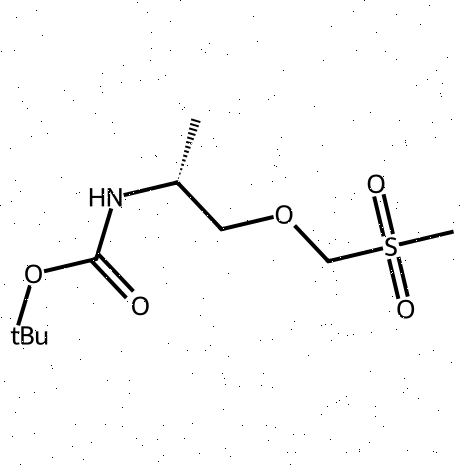 C[C@H](COCS(C)(=O)=O)NC(=O)OC(C)(C)C